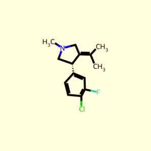 CC(C)=C1CN(C)C[C@H]1c1ccc(Cl)c(F)c1